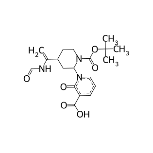 C=C(NC=O)C1CCN(C(=O)OC(C)(C)C)C(n2cccc(C(=O)O)c2=O)C1